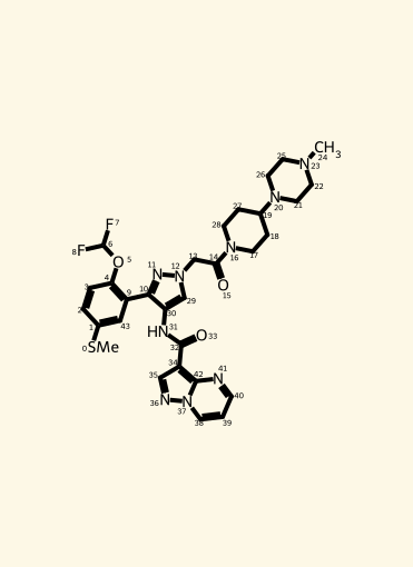 CSc1ccc(OC(F)F)c(-c2nn(CC(=O)N3CCC(N4CCN(C)CC4)CC3)cc2NC(=O)c2cnn3cccnc23)c1